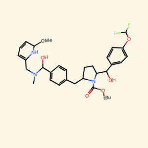 COC1C=CC=C(CN(C)C(O)c2ccc(CC3CCC(C(O)c4ccc(OC(F)F)cc4)N3C(=O)OC(C)(C)C)cc2)N1